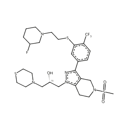 CS(=O)(=O)N1CCc2c(c(-c3ccc(C(F)(F)F)c(SCCN4CCCC(F)C4)c3)nn2C[C@@H](O)CN2CCSCC2)C1